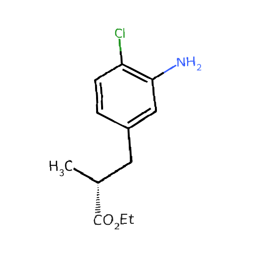 CCOC(=O)[C@H](C)Cc1ccc(Cl)c(N)c1